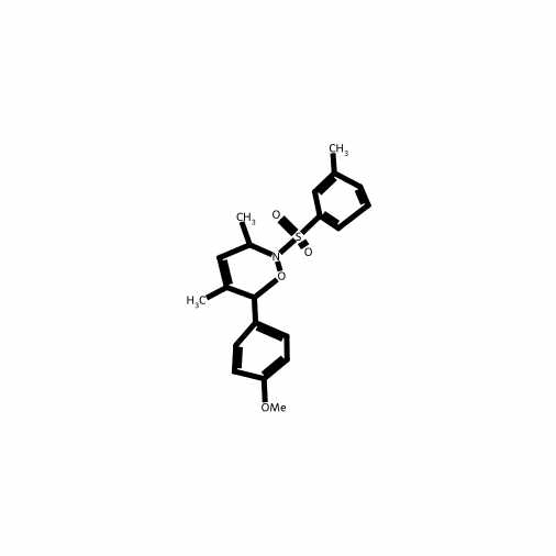 COc1ccc(C2ON(S(=O)(=O)c3cccc(C)c3)C(C)C=C2C)cc1